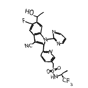 CC(O)c1cc2c(cc1F)c(C#N)c(-c1ccc(S(=O)(=O)N[C@@H](C)C(F)(F)F)cn1)n2-c1ncccn1